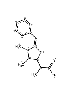 CC(C(=O)O)C1SC(=Nc2ccccc2)N(C)C1C